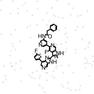 O=C(Cc1ccccc1)Nc1cncc(-c2ncc3[nH]nc(-c4nc5c(-c6ccc(F)s6)cncc5[nH]4)c3c2F)c1